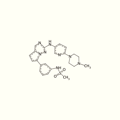 CN1CCN(c2ccc(Nc3ncc4ccc(-c5cccc(NS(C)(=O)=O)c5)n4n3)cn2)CC1